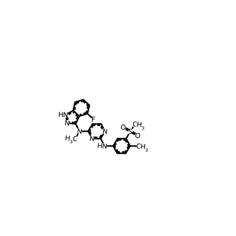 Cc1ccc(Nc2nccc(N(C)c3n[nH]c4cccc(F)c34)n2)cc1S(C)(=O)=O